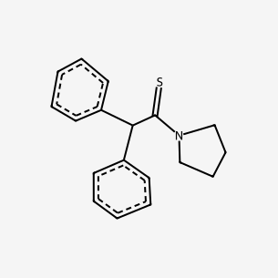 S=C(C(c1ccccc1)c1ccccc1)N1CCCC1